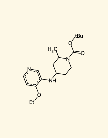 CCOc1ccncc1NC1CCN(C(=O)OC(C)(C)C)C(C)C1